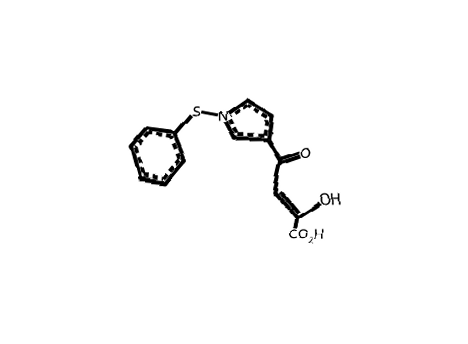 O=C(O)/C(O)=C/C(=O)c1ccn(Sc2ccccc2)c1